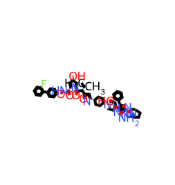 CC(C)[C@@H](C(=O)N1C[C@H](O)C[C@H]1C(=O)NOc1ccc(-c2ccccc2F)cc1)c1cc([C@H]2CC[C@H](N3CCC(c4cnc(N5C6CCC5CN(c5cc(-c7ccccc7O)nnc5N)C6)nc4)CC3)CC2)no1